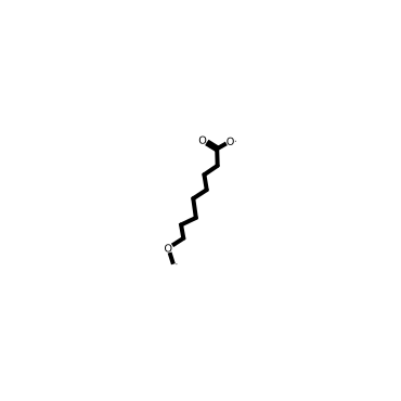 [CH2]OCCCCCCCC([O])=O